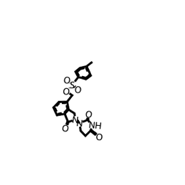 Cc1ccc(S(=O)(=O)OCc2cccc3c2CN(N2CCC(=O)NC2=O)C3=O)cc1